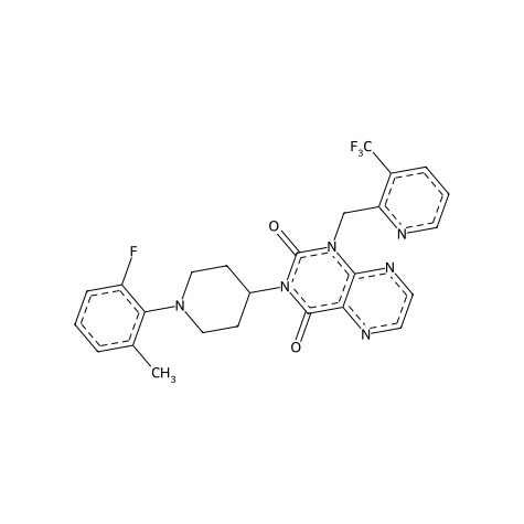 Cc1cccc(F)c1N1CCC(n2c(=O)c3nccnc3n(Cc3ncccc3C(F)(F)F)c2=O)CC1